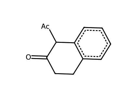 CC(=O)C1C(=O)CCc2ccccc21